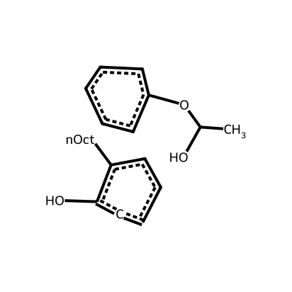 CC(O)Oc1ccccc1.CCCCCCCCc1ccccc1O